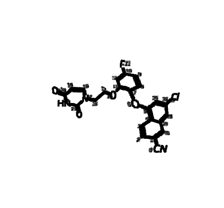 N#Cc1ccc2c(Oc3ccc(F)cc3OCCn3ccc(=O)[nH]c3=O)cc(Cl)cc2c1